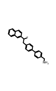 NCc1ccc(-c2ccc(CC(F)c3ccc4ccccc4c3)cc2)cc1